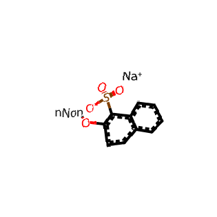 CCCCCCCCCOc1ccc2ccccc2c1S(=O)(=O)[O-].[Na+]